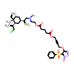 C=C[C@]1(C)CC[C@@H](C(=C)CN(CCOC(=O)CCCC(=O)OCC#CCOc2no[n+]([O-])c2S(=O)(=O)c2ccccc2)C(C)C)C[C@H]1C(=C)CCl